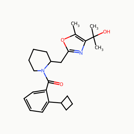 Cc1oc(CC2CCCCN2C(=O)c2ccccc2C2CCC2)nc1C(C)(C)O